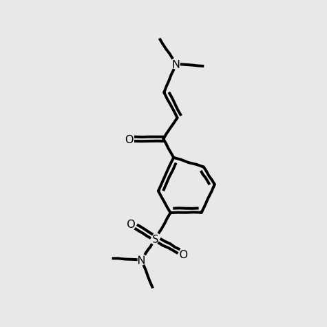 CN(C)C=CC(=O)c1cccc(S(=O)(=O)N(C)C)c1